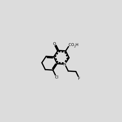 O=C(O)c1cn(CCF)c2c(c1=O)=CCCC=2Cl